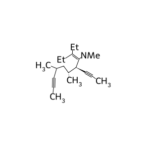 CC#CC(C)C[C@@H](C)[C@H](C#CC)C(NC)=C(CC)CC